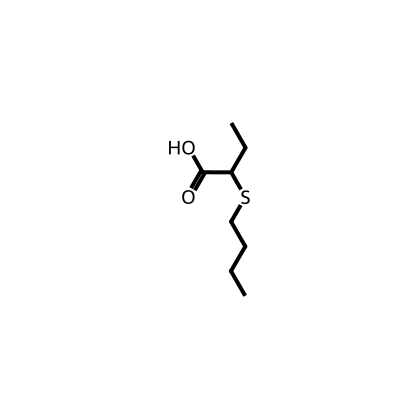 CCCCSC(CC)C(=O)O